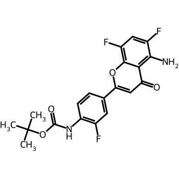 CC(C)(C)OC(=O)Nc1ccc(-c2cc(=O)c3c(N)c(F)cc(F)c3o2)cc1F